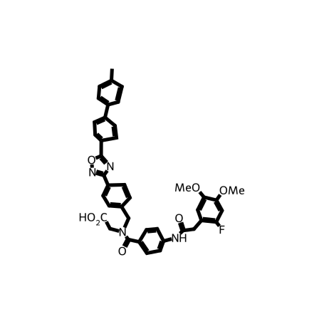 COc1cc(F)c(CC(=O)Nc2ccc(C(=O)N(CC(=O)O)Cc3ccc(-c4noc(-c5ccc(-c6ccc(C)cc6)cc5)n4)cc3)cc2)cc1OC